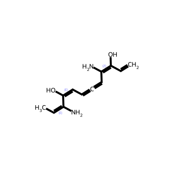 C=C/C(O)=C(/N)C=C=C/C=C(O)\C(N)=C/C